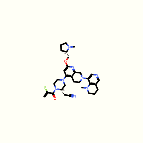 C=C(F)C(=O)N1CCN(c2cc(OC[C@@H]3CCCN3C)nc3c2CCN(c2cncc4c2N(C)CCC4)C3)C[C@@H]1CC#N